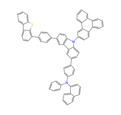 c1ccc(N(c2ccc(-c3ccc4c(c3)c3cc(-c5ccc(-c6cccc7c6sc6ccccc67)cc5)ccc3n4-c3ccc4c5ccccc5c5ccccc5c4c3)cc2)c2cccc3ccccc23)cc1